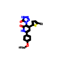 CCCCCCOc1ccc(-c2cc(-c3ccc(CC)s3)c(-n3nn[nH]c3=O)c(=O)[nH]2)cc1